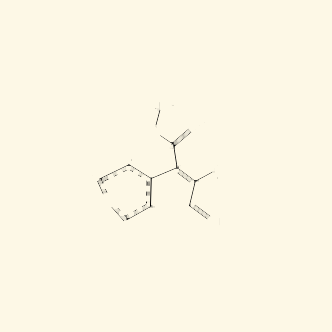 C=CC(C(=O)O)=C(C(=O)OCCCC)c1ccccc1